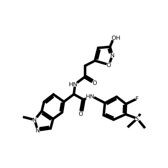 Cn1ncc2cc(C(NC(=O)Cc3cc(O)no3)C(=O)Nc3ccc(S(C)(C)C)c(F)c3)ccc21